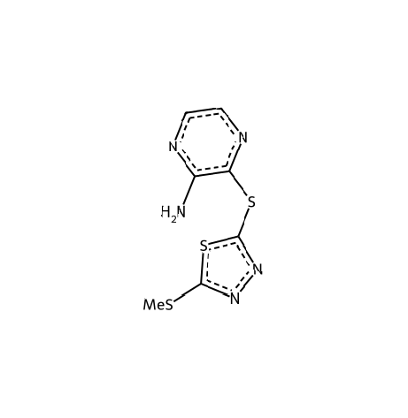 CSc1nnc(Sc2nccnc2N)s1